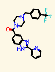 O=C(c1ccc2[nH]c(-c3ccccn3)nc2c1)N1CCN(Cc2ccc(C(F)(F)F)cc2)CC1